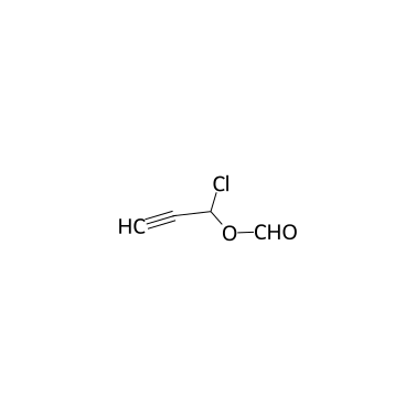 C#CC(Cl)OC=O